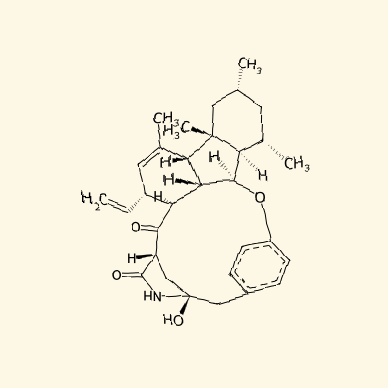 C=C[C@@H]1C=C(C)[C@H]2[C@@H]3[C@H](Oc4ccc(cc4)C[C@@]4(O)C[C@H](C(=O)N4)C(=O)[C@@H]13)[C@@H]1[C@@H](C)C[C@@H](C)C[C@]12C